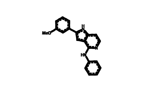 COc1cccc(-c2cc3c(Nc4ccccc4)nccc3[nH]2)c1